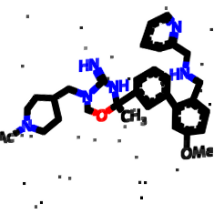 COc1ccc(CNCc2ccccn2)c(-c2cccc(C3(C)NC(=N)N(CC4CCN(C(C)=O)CC4)CO3)c2)c1